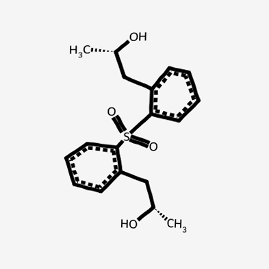 C[C@H](O)Cc1ccccc1S(=O)(=O)c1ccccc1C[C@H](C)O